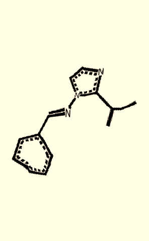 CC(C)c1nccn1/N=C/c1ccccc1